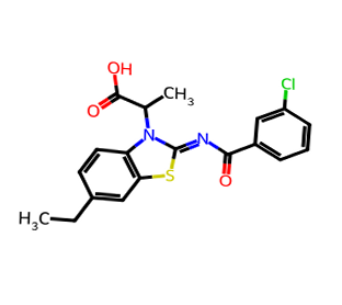 CCc1ccc2c(c1)sc(=NC(=O)c1cccc(Cl)c1)n2C(C)C(=O)O